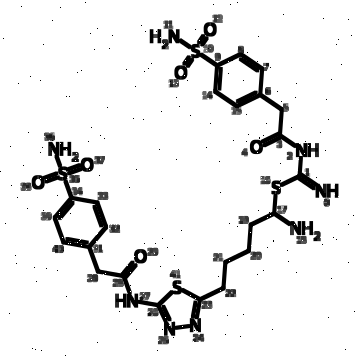 N=C(NC(=O)Cc1ccc(S(N)(=O)=O)cc1)SC(N)CCCCc1nnc(NC(=O)Cc2ccc(S(N)(=O)=O)cc2)s1